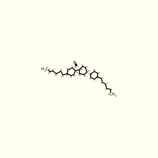 CCCCCCC1CCC([C@H]2CC[C@](C#N)(C3CCC(CCCCCC)CC3)CC2)CC1